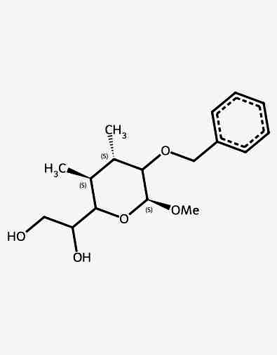 CO[C@H]1OC(C(O)CO)[C@@H](C)[C@H](C)C1OCc1ccccc1